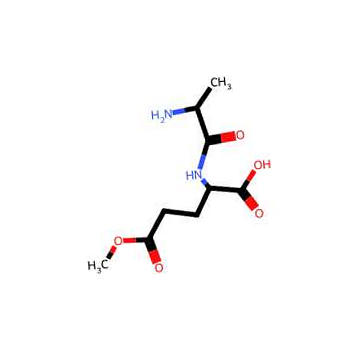 COC(=O)CCC(NC(=O)C(C)N)C(=O)O